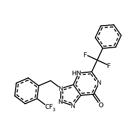 O=c1nc(C(F)(F)c2ccccc2)[nH]c2c1nnn2Cc1ccccc1C(F)(F)F